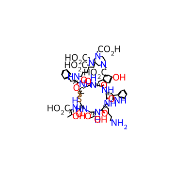 CC(O)[C@H](NC(=O)[C@@H]1CSSCC(NC(=O)[C@@H](Cc2ccccc2)NC(=O)CCCCC2(N(CC(=O)O)CC(=O)O)CN(CC(=O)O)CCN(CC(=O)O)C2)C(=O)N[C@@H](Cc2ccc(O)cc2)C(=O)N[C@H](Cc2c[nH]c3ccccc23)C(=O)N[C@@H](CCCCN)C(=O)N[C@@H](C(C)O)C(=O)N1)C(=O)O